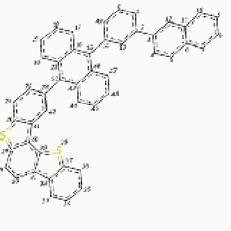 c1cc(-c2ccc3ccccc3c2)cc(-c2c3ccccc3c(-c3ccc4sc5ccc6c7ccccc7sc6c5c4c3)c3ccccc23)c1